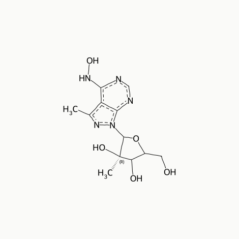 Cc1nn(C2OC(CO)C(O)[C@@]2(C)O)c2ncnc(NO)c12